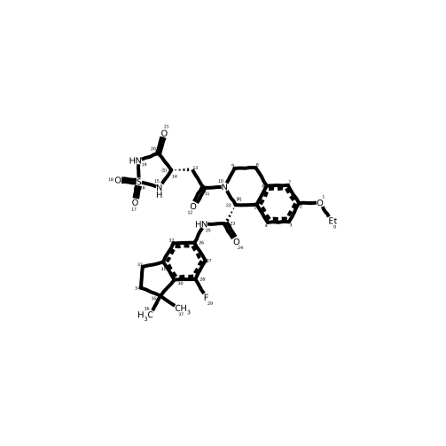 CCOc1ccc2c(c1)CCN(C(=O)C[C@@H]1NS(=O)(=O)NC1=O)[C@H]2C(=O)Nc1cc(F)c2c(c1)CCC2(C)C